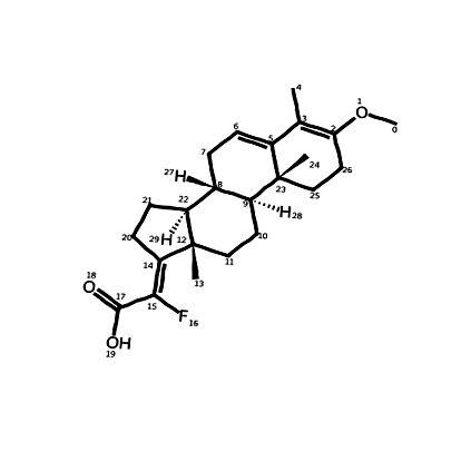 COC1=C(C)C2=CC[C@@H]3[C@H](CC[C@]4(C)C(=C(F)C(=O)O)CC[C@@H]34)[C@@]2(C)CC1